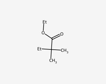 [CH2]CC(C)(C)C(=O)OCC